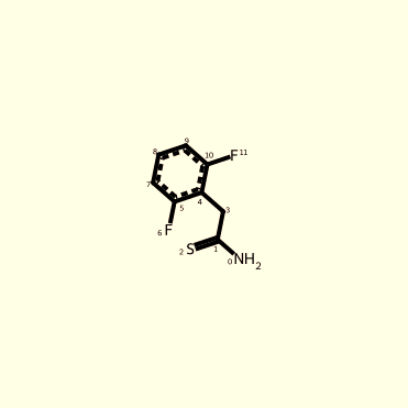 NC(=S)Cc1c(F)cccc1F